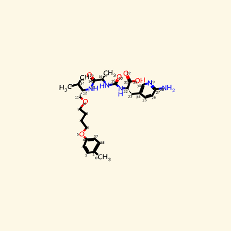 Cc1ccc(OCCCCOC[C@@H](NC(=O)[C@@H](C)NC(=O)N[C@@H](Cc2ccc(N)nc2)C(=O)O)C(C)C)cc1